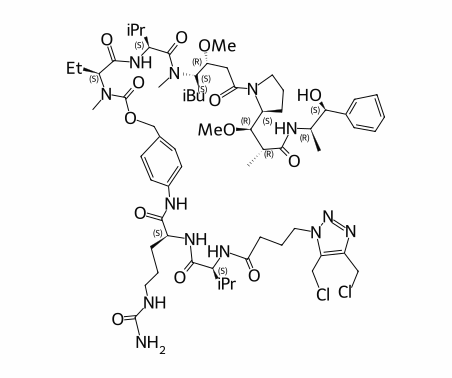 CC[C@H](C)[C@@H]([C@@H](CC(=O)N1CCC[C@H]1[C@H](OC)[C@@H](C)C(=O)N[C@H](C)[C@@H](O)c1ccccc1)OC)N(C)C(=O)[C@@H](NC(=O)[C@H](CC)N(C)C(=O)OCc1ccc(NC(=O)[C@H](CCCNC(N)=O)NC(=O)[C@@H](NC(=O)CCCn2nnc(CCl)c2CCl)C(C)C)cc1)C(C)C